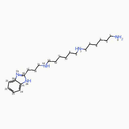 NCCCCCCNCCCCCCNCCCc1nc2ccccc2[nH]1